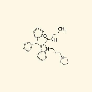 CCCNC(=O)c1c(C(c2ccccc2)c2ccccc2)c2ccccc2n1CCCN1CCCC1